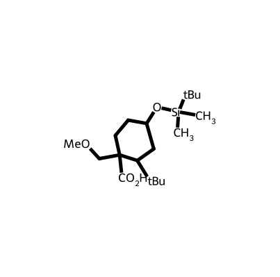 COCC1(C(=O)O)CCC(O[Si](C)(C)C(C)(C)C)CC1C(C)(C)C